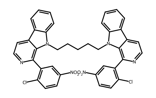 O=[N+]([O-])c1ccc(Cl)c(-c2nccc3c4ccccc4n(CCCCCn4c5ccccc5c5ccnc(-c6cc([N+](=O)[O-])ccc6Cl)c54)c23)c1